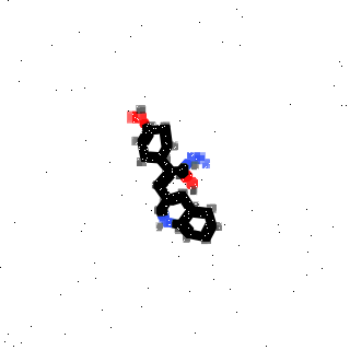 NC(=O)C(=Cc1cnc2ccccc2c1)c1ccc(O)cc1